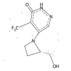 O=c1[nH]ncc(N2CC[C@H]2CO)c1C(F)(F)F